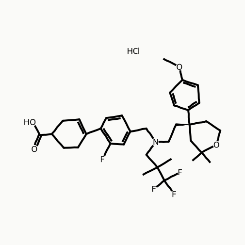 COc1ccc([C@]2(CCN(Cc3ccc(C4=CCC(C(=O)O)CC4)c(F)c3)CC(C)(C)C(F)(F)F)CCOC(C)(C)C2)cc1.Cl